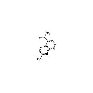 NC(=S)c1ncnc2nc(C(F)(F)F)ccc12